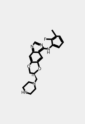 Cc1cccc(Nc2ncnc3cc4c(cc23)O[C@@H](CN2CCNCC2)CO4)c1F